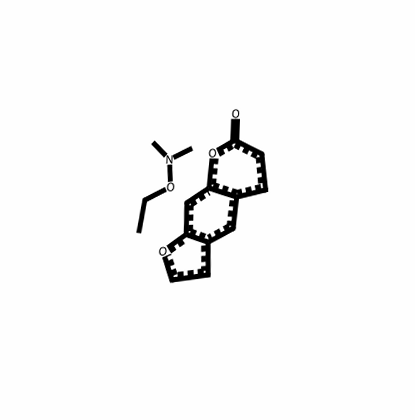 CCON(C)C.O=c1ccc2cc3ccoc3cc2o1